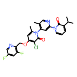 Cc1cnc(-n2cccc(C(C)C)c2=O)cc1-n1c(C)cc(OCc2ncc(F)cc2F)c(Cl)c1=O